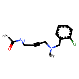 CCCC(=O)NCC#CCN(CCC)Cc1ccccc1Cl